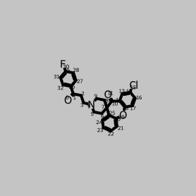 O=C(CCN1CCC2(CC1)C(=O)c1cc(Cl)ccc1Oc1ccccc12)c1ccc(F)cc1